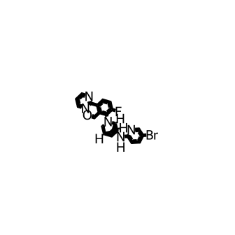 O=Cc1c(-c2ncccn2)ccc(F)c1N1C[C@@H]2CC[C@H]1[C@H](Nc1ccc(Br)cn1)C2